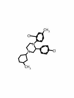 Cc1ccc(N2CCN(C3CCCC(C)C3)CC2c2ccc(Cl)cc2)c(Cl)c1